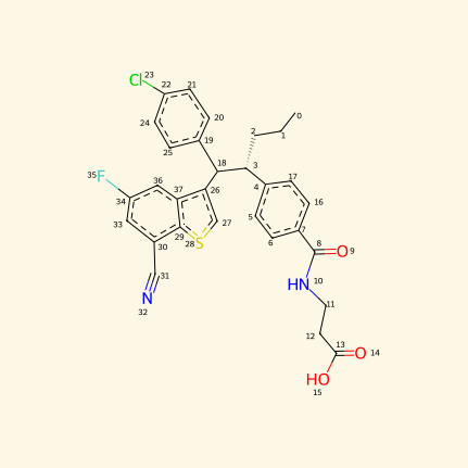 CCC[C@H](c1ccc(C(=O)NCCC(=O)O)cc1)C(c1ccc(Cl)cc1)c1csc2c(C#N)cc(F)cc12